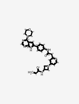 C=CC(=O)NC1CN(c2ccnc(CC(=O)Nc3ccc(-c4cc5c(N6CCOCC6)ncnc5[nH]4)cc3)c2)C1